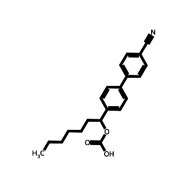 CCCCCCC(OC(=O)O)c1ccc(-c2ccc(C#N)cc2)cc1